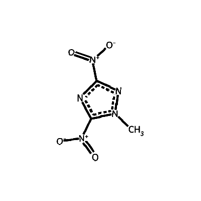 Cn1nc([N+](=O)[O-])nc1[N+](=O)[O-]